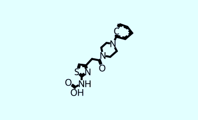 O=C(O)Nc1nc(CC(=O)N2CCN(c3ccccc3)CC2)cs1